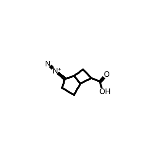 [N-]=[N+]=C1CCC2C(C(=O)O)CC12